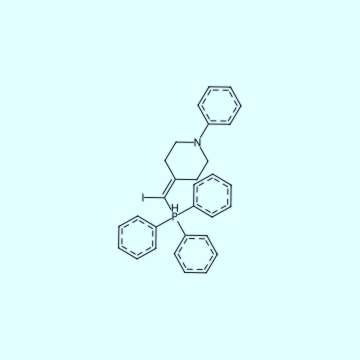 IC(=C1CCN(c2ccccc2)CC1)[PH](c1ccccc1)(c1ccccc1)c1ccccc1